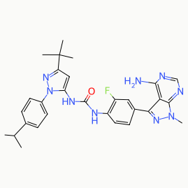 CC(C)c1ccc(-n2nc(C(C)(C)C)cc2NC(=O)Nc2ccc(-c3nn(C)c4ncnc(N)c34)cc2F)cc1